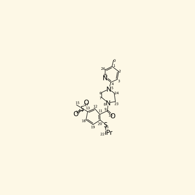 Cc1ccc(N2CCN(C(=O)c3cc(S(C)(=O)=O)ccc3SC(C)C)CC2)nc1